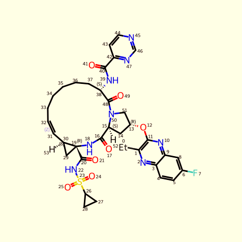 CCc1nc2ccc(F)cc2nc1O[C@@H]1C[C@H]2C(=O)N[C@]3(C(=O)NS(=O)(=O)C4CC4)C[C@H]3/C=C\CCCCC[C@H](NC(=O)c3ccncn3)C(=O)N2C1